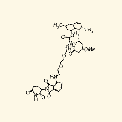 CO[C@H]1CC(=O)O[C@H](CC[C@@H]2[C@@H]3C(=C[C@H](C)C[C@@H]3OC(=O)NCCOCCOCCNc3cccc4c3C(=O)N(C3CCC(=O)NC3=O)C4=O)C=C[C@@H]2C)C1